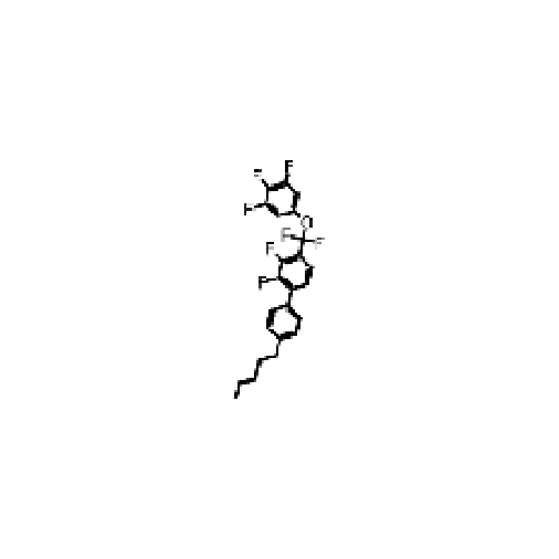 C/C=C/CCc1ccc(-c2ccc(C(F)(F)Oc3cc(F)c(F)c(F)c3)c(F)c2F)cc1